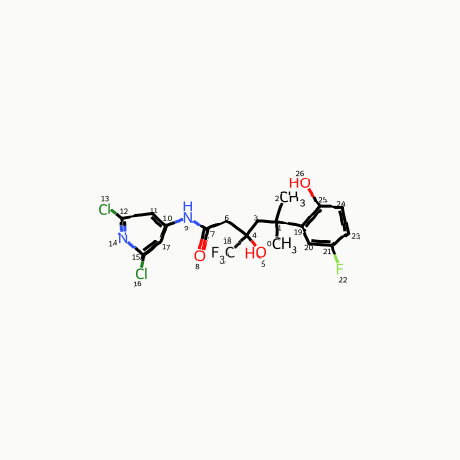 CC(C)(CC(O)(CC(=O)Nc1cc(Cl)nc(Cl)c1)C(F)(F)F)c1cc(F)ccc1O